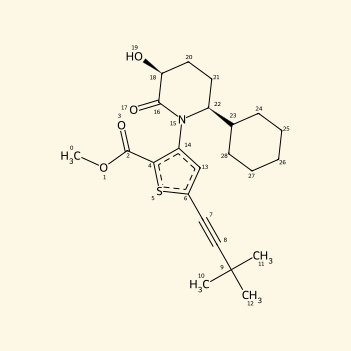 COC(=O)c1sc(C#CC(C)(C)C)cc1N1C(=O)[C@@H](O)CC[C@H]1C1CCCCC1